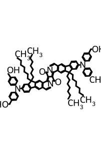 CCCCCCCCC1(CCCCCCCC)c2cc(N(c3ccc(C)cc3)c3ccc(CO)cc3)ccc2-c2cc3c(cc21)C1=C2C(=O)N4C=Cc5cc6c(cc5C4=C2C(=O)N1C=C3)C(CCCCCCCC)(CCCCCCCC)c1cc(N(c2ccc(CO)cc2)c2ccc(CO)cc2)ccc1-6